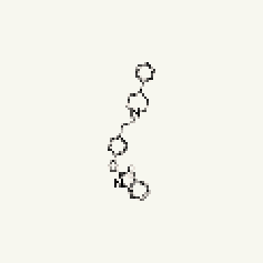 c1ccc(C2CCN(CCc3ccc(Oc4nc5ccccc5s4)cc3)CC2)cc1